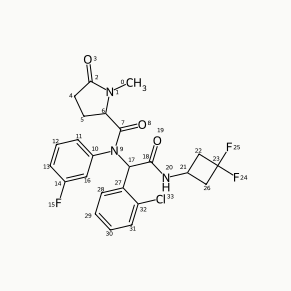 CN1C(=O)CCC1C(=O)N(c1cccc(F)c1)C(C(=O)NC1CC(F)(F)C1)c1ccccc1Cl